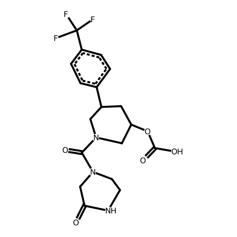 O=C1CN(C(=O)N2CC(OC(=O)O)CC(c3ccc(C(F)(F)F)cc3)C2)CCN1